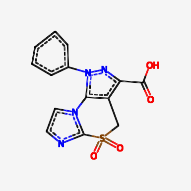 O=C(O)c1nn(-c2ccccc2)c2c1CS(=O)(=O)c1nccn1-2